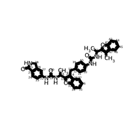 Cc1c(C(C)NC(=O)Nc2ccc(Cc3c(C(C)NC(=O)Nc4ccc5c(c4)CNC5=O)oc4ccccc34)cc2)oc2ccccc12